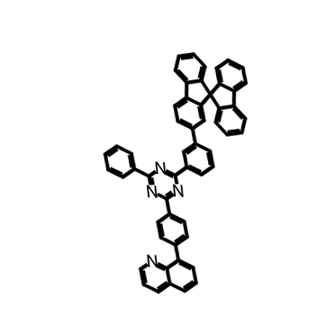 c1ccc(-c2nc(-c3ccc(-c4cccc5cccnc45)cc3)nc(-c3cccc(-c4ccc5c(c4)C4(c6ccccc6-c6ccccc64)c4ccccc4-5)c3)n2)cc1